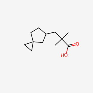 CC(C)(CC1CCC2(CC2)C1)C(=O)O